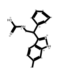 Cc1ccc2c(C(CNC(=O)O)c3ccccc3)n[nH]c2c1